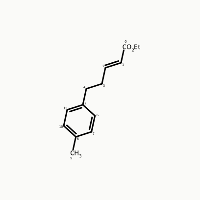 CCOC(=O)C=CCCc1ccc(C)cc1